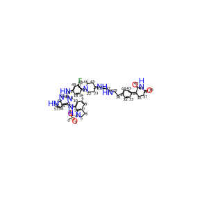 CS(=O)(=O)N1CCc2cccc(Nc3nc(Nc4ccc(N5CCC(NCCNCCc6ccc(C7CCC(=O)NC7=O)cc6)CC5)c(F)c4)nc4[nH]ccc34)c21